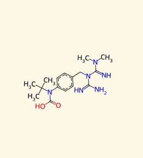 CN(C)C(=N)N(Cc1ccc(N(C(=O)O)C(C)(C)C)cc1)C(=N)N